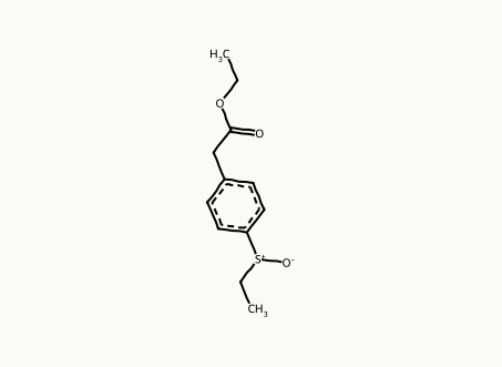 CCOC(=O)Cc1ccc([S+]([O-])CC)cc1